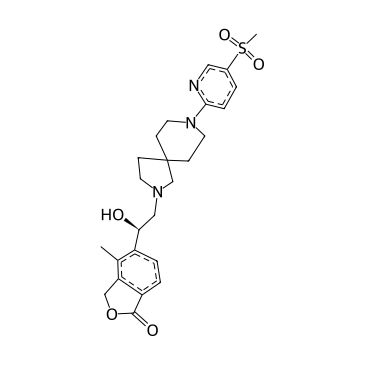 Cc1c([C@@H](O)CN2CCC3(CCN(c4ccc(S(C)(=O)=O)cn4)CC3)C2)ccc2c1COC2=O